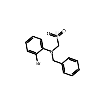 O=[SH](=O)CN(Cc1ccccc1)c1c[c]ccc1Br